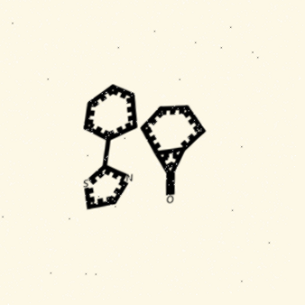 O=c1c2ccccc12.c1ccc(-c2nccs2)cc1